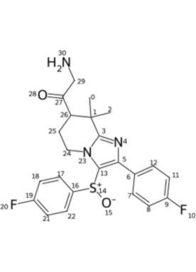 CC1(C)c2nc(-c3ccc(F)cc3)c([S+]([O-])c3ccc(F)cc3)n2CCC1C(=O)CN